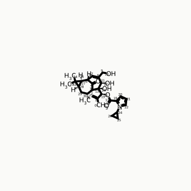 CC1=C[C@]23C(=O)[C@@H](C=C(CO)[C@@H](O)[C@]2(O)[C@H]1OC(=O)c1cccn1C1CC1)[C@H]1[C@@H](C[C@H]3C)C1(C)C